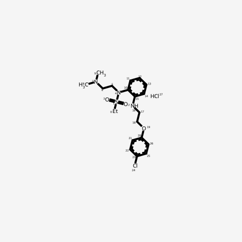 CCS(=O)(=O)N(CCN(C)C)c1ccccc1NCCOc1ccc(Cl)cc1.Cl